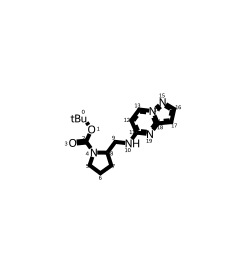 CC(C)(C)OC(=O)N1CCCC1CNc1ccn2nccc2n1